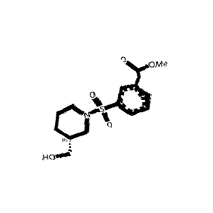 COC(=O)c1cccc(S(=O)(=O)N2CCC[C@@H](CO)C2)c1